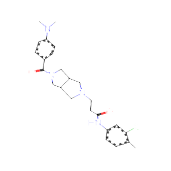 Cc1ccc(NC(=O)CCN2CC3CN(C(=O)c4ccc(N(C)C)cc4)CC3C2)cc1Cl